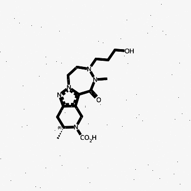 C[C@@H]1Cc2nn3c(c2CN1C(=O)O)C(=O)N(C)N(CCCO)CC3